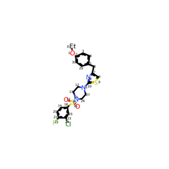 CCOc1ccc(Cc2csc(N3CCN(S(=O)(=O)c4ccc(F)c(Cl)c4)CC3)n2)cc1